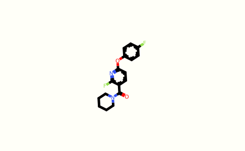 O=C(c1ccc(Oc2ccc(F)cc2)nc1F)N1CCCCC1